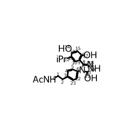 CC(=O)NCCc1ccc(N2C(c3cc(C(C)C)c(O)cc3O)=NNC2O)cc1